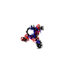 O=C(N[C@H]1CCCCC/C=C/[C@@H]2C[C@@]2(C(=O)NS(=O)(=O)C2CC2)NC(=O)[C@@H]2C[C@@H](OC(=O)N3CCc4ccccc4C3)CN2C1=O)O[C@@H]1CCOC1